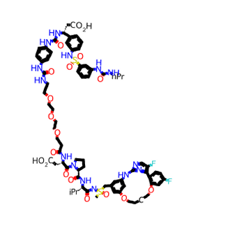 CCCNC(=O)Nc1cccc(S(=O)(=O)Nc2cccc([C@@H](CC(=O)O)NC(=O)Nc3ccc(NC(=O)NCCOCCOCCOCCC(=O)N[C@@H](CC(=O)O)C(=O)N4CCC[C@H]4C(=O)N[C@H](C(=O)N=S(C)(=O)Cc4cc5cc(c4)OCCCCOc4cc(F)ccc4-c4nc(ncc4F)N5)C(C)C)cc3)c2)c1